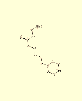 CC[C@H](CCCCCN1CCNCC1)CCOC